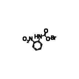 O=C(Nc1ccccc1[N+](=O)[O-])OBr